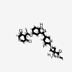 CNC(=O)C1(N)CN(c2ncc(-c3n[nH]c4ccc(O[C@H](C)c5c(Cl)cncc5Cl)cc34)cc2F)C1